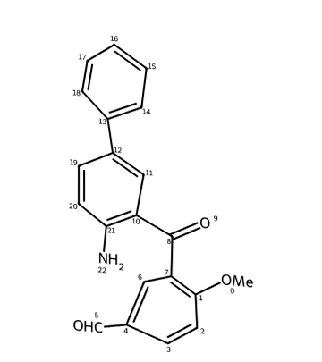 COc1ccc(C=O)cc1C(=O)c1cc(-c2ccccc2)ccc1N